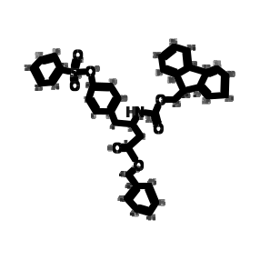 O=C(CC(Cc1ccc(OS(=O)(=O)c2ccccc2)cc1)NC(=O)OCC1c2ccccc2-c2ccccc21)OCc1ccccc1